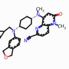 Cn1c(=O)cc(N(C)[C@H]2CC[C@@H](N(CC3CC3)c3ccc4c(c3)COC4)CC2)c2nc(C#N)ccc21